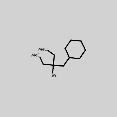 COCC(COC)(CC1CCCCC1)C(C)C